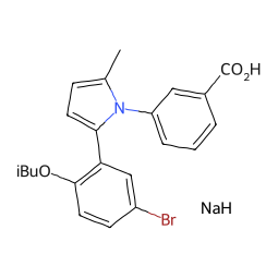 Cc1ccc(-c2cc(Br)ccc2OCC(C)C)n1-c1cccc(C(=O)O)c1.[NaH]